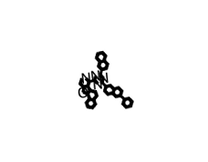 c1ccc(-c2ccc3cc(-c4nc(-c5ccc6ccccc6c5)nc(-c5nccc6oc7c8ccccc8ccc7c56)n4)ccc3c2)cc1